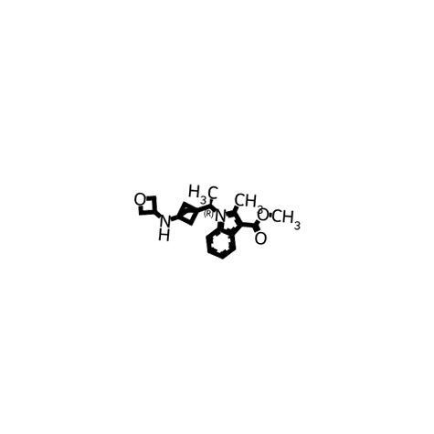 COC(=O)c1c(C)n([C@H](C)C23CC(NC4COC4)(C2)C3)c2ccccc12